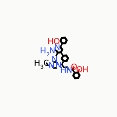 CCN1CCN(C(CCNC(=O)c2ccccc2O)c2cccc(-c3cc(-c4ccccc4O)nc(N)c3C#N)c2)CC1